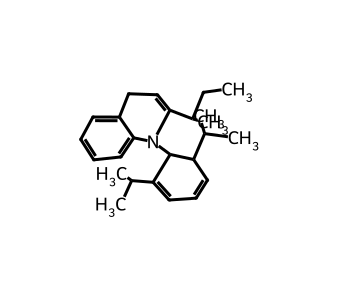 CCC(C)C1=CCc2ccccc2N1C1C(C(C)C)=CC=CC1C(C)C